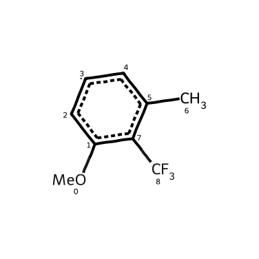 COc1c[c]cc(C)c1C(F)(F)F